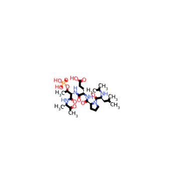 CC(=O)[C@H](C)NC(=O)[C@@H](NC(=O)[C@H](CCC(=O)O)NC(=O)[C@@H]1CCCN1C(=O)[C@H](CC(C)C)NC(C)C)C(C)OP(=O)(O)O